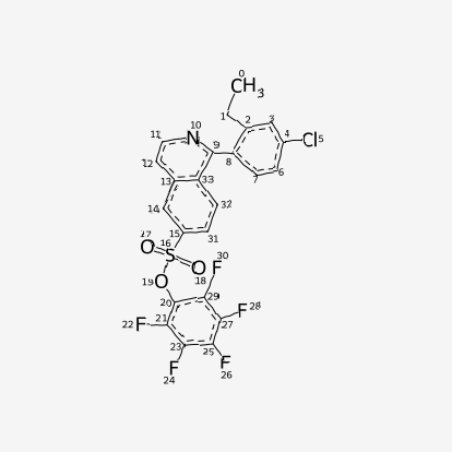 CCc1cc(Cl)ccc1-c1nccc2cc(S(=O)(=O)Oc3c(F)c(F)c(F)c(F)c3F)ccc12